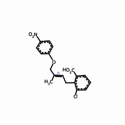 C/C(=C\Cc1c(Cl)cccc1C(=O)O)COc1ccc([N+](=O)[O-])cc1